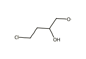 [O]CC(O)CCCl